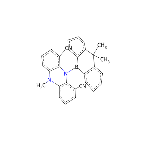 CN1c2cccc(C#N)c2N(B2c3ccccc3C(C)(C)c3ccccc32)c2c(C#N)cccc21